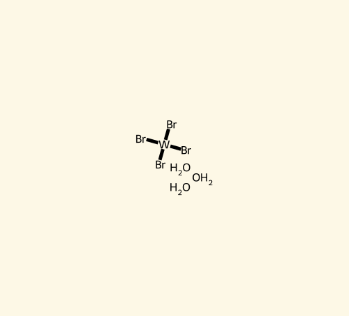 O.O.O.[Br][W]([Br])([Br])[Br]